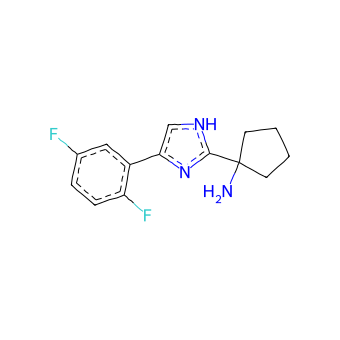 NC1(c2nc(-c3cc(F)ccc3F)c[nH]2)CCCC1